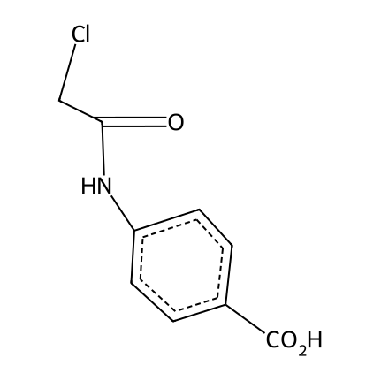 O=C(CCl)Nc1ccc(C(=O)O)cc1